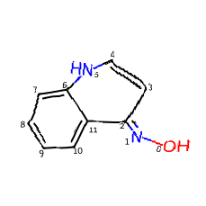 O/N=c1\cc[nH]c2ccccc12